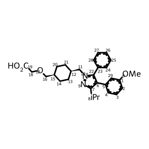 COc1cccc(-c2c(C(C)C)nn(C[C@H]3CC[C@@H](COCC(=O)O)CC3)c2-c2ccccc2)c1